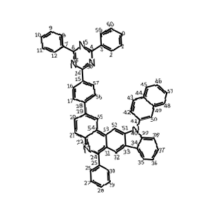 c1ccc(-c2nc(-c3ccccc3)nc(-c3ccc(-c4ccc5nc(-c6ccccc6)c6cc7c8ccccc8n(-c8ccc9ccccc9c8)c7cc6c5c4)cc3)n2)cc1